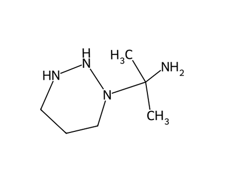 CC(C)(N)N1CCCNN1